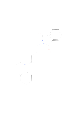 O=C1c2ccccc2C(=O)N1CCCC(=O)N1CCCC2CCCCC21